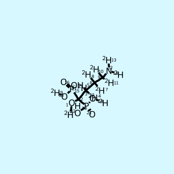 [2H]OC(C([2H])([2H])C([2H])([2H])C([2H])([2H])N([2H])[2H])(P(=O)(O)O[2H])P(=O)(O)O[2H]